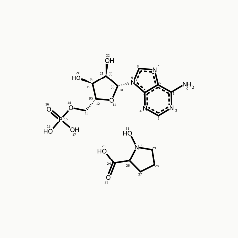 Nc1ncnc2c1ncn2[C@@H]1O[C@H](COP(=O)(O)O)[C@@H](O)[C@H]1O.O=C(O)C1CCCN1O